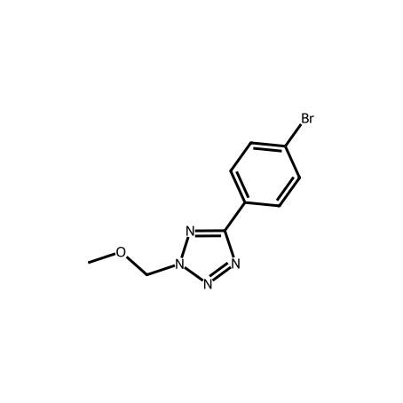 COCn1nnc(-c2ccc(Br)cc2)n1